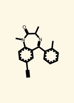 C#Cc1ccc2c(c1)C(c1ccccc1C)=NC(C)C(=O)N2C